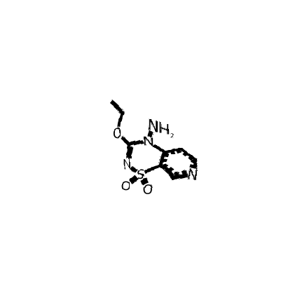 CCOC1=NS(=O)(=O)c2cnccc2N1N